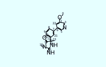 COc1cncc(-c2cccc(C3(C)NC(=N)N(C)C3=O)c2)c1